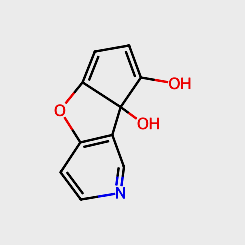 OC1=CC=C2Oc3ccncc3C12O